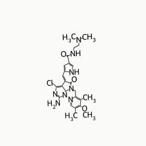 COc1c(C)cnc(CN2C(=O)C(=Cc3cc(C(=O)NCCN(C)C)c[nH]3)c3c(Cl)nc(N)nc32)c1C